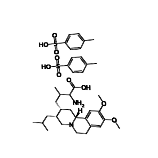 COc1cc2c(cc1OC)[C@H]1C[C@@H](CC(C)C(N)C(=O)O)[C@@H](CC(C)C)CN1CC2.Cc1ccc(S(=O)(=O)O)cc1.Cc1ccc(S(=O)(=O)O)cc1